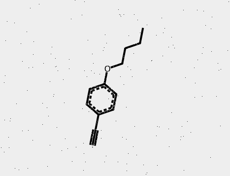 [C]#Cc1ccc(OCCCC)cc1